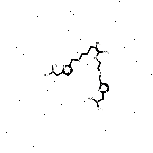 CN(C)Cc1ccc(COCCCC(=C(N)NCCSCc2ccc(CN(C)C)o2)[N+](=O)[O-])o1